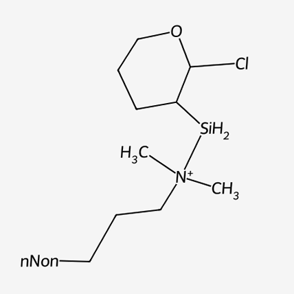 CCCCCCCCCCCC[N+](C)(C)[SiH2]C1CCCOC1Cl